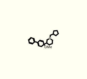 COC1(C2CCCN(CC3CCCC3)C2)C=CC(c2ccccc2)=CC1